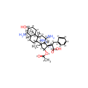 CC(=O)O[C@H]1C[C@@]2(C)[C@H](/C1=C(\Cc1ccccc1)C(=O)O)[C@H](N)C[C@H]1[C@@]3(C)CC[C@@H](O)[C@@H](N)[C@@H]3CC[C@@]12N